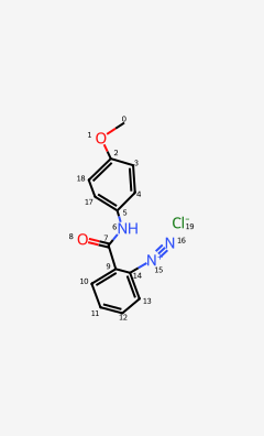 COc1ccc(NC(=O)c2ccccc2[N+]#N)cc1.[Cl-]